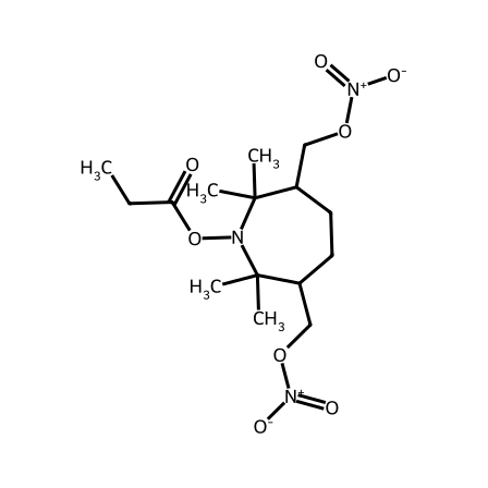 CCC(=O)ON1C(C)(C)C(CO[N+](=O)[O-])CCC(CO[N+](=O)[O-])C1(C)C